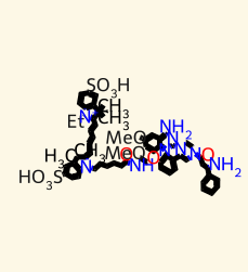 CC[N+]1=C(C=CC=CC=C2N(CCCCCC(=O)NCCOc3cccc(C4CN(C(=O)CC(N)c5ccccc5)CCN4c4nc(N)c5cc(OC)c(OC)cc5n4)c3)c3ccc(S(=O)(=O)O)cc3C2(C)C)C(C)(C)c2cc(S(=O)(=O)O)ccc21